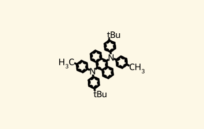 Cc1ccc(N(c2ccc(C(C)(C)C)cc2)c2c3ccccc3c(N(c3ccc(C)cc3)c3ccc(C(C)(C)C)cc3)c3ccccc23)cc1